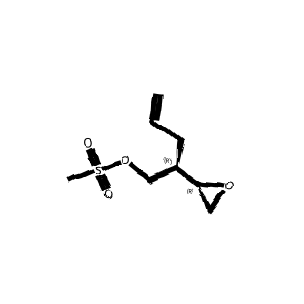 C=CC[C@H](COS(C)(=O)=O)[C@@H]1CO1